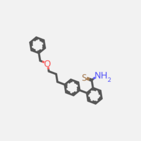 NC(=S)c1ccccc1-c1ccc(CCCOCc2ccccc2)cc1